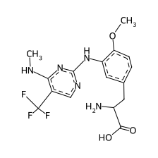 CNc1nc(Nc2cc(CC(N)C(=O)O)ccc2OC)ncc1C(F)(F)F